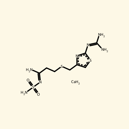 NC(N)=Nc1nc(CSCCC(N)=NS(N)(=O)=O)cs1.[CaH2]